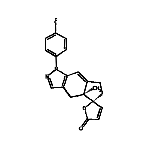 C[C@]12Cc3cnn(-c4ccc(F)cc4)c3C=C1CC[C@@]21C=CC(=O)O1